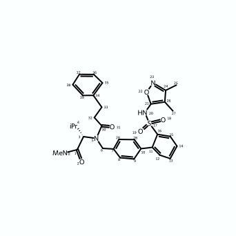 CNC(=O)[C@H](C(C)C)N(Cc1ccc(-c2ccccc2S(=O)(=O)Nc2onc(C)c2C)cc1)C(=O)CCc1ccccc1